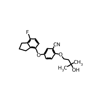 CC(C)(O)CCOc1ccc(Oc2ccc(F)c3c2CCC3)cc1C#N